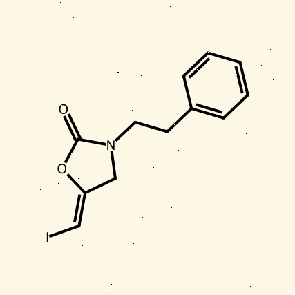 O=C1O/C(=C\I)CN1CCc1ccccc1